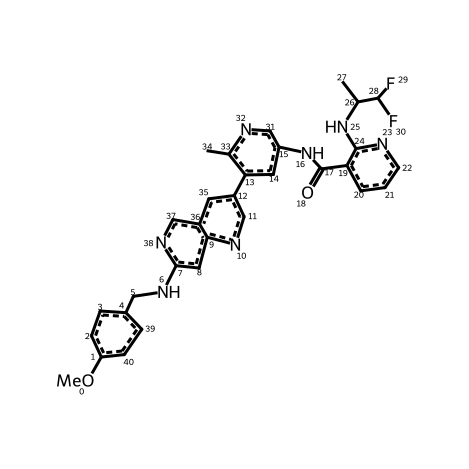 COc1ccc(CNc2cc3ncc(-c4cc(NC(=O)c5cccnc5NC(C)C(F)F)cnc4C)cc3cn2)cc1